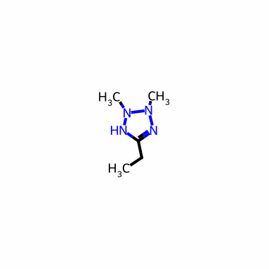 CCC1=NN(C)N(C)N1